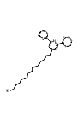 BrCCCCCCCCCCCCCc1cc(-c2ccccn2)nc(-c2ccccn2)c1